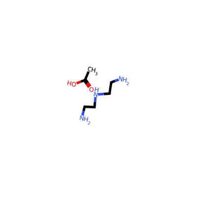 CC(=O)O.NCCNCCN